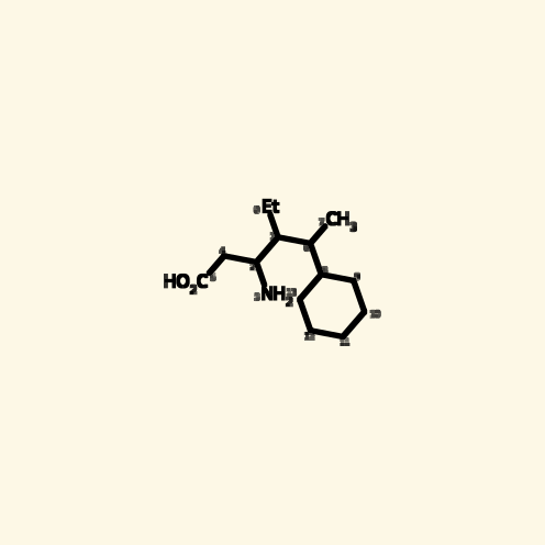 CCC(C(N)CC(=O)O)C(C)C1CCCCC1